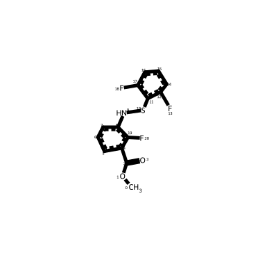 COC(=O)c1cccc(NSc2c(F)cccc2F)c1F